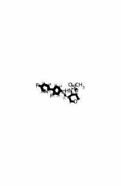 CS(=O)(=O)N[C@H]1CCOC[C@@H]1COc1ccc(-c2ccc(F)cn2)c(F)c1